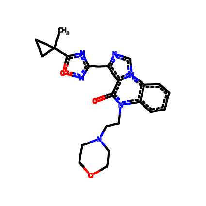 CC1(c2nc(-c3ncn4c3c(=O)n(CCN3CCOCC3)c3ccccc34)no2)CC1